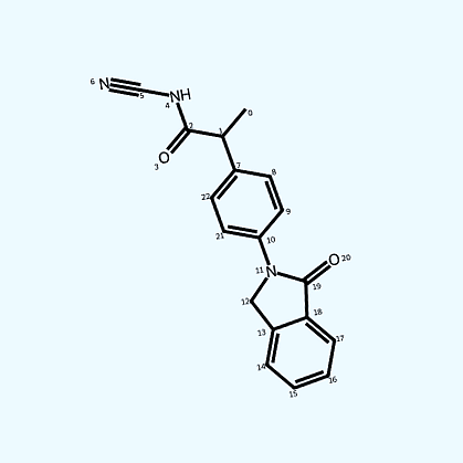 CC(C(=O)NC#N)c1ccc(N2Cc3ccccc3C2=O)cc1